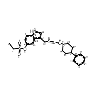 CCS(=O)(=O)Oc1ccc2[nH]cc(CSCCN3CCC(c4ccccc4)CC3)c2c1